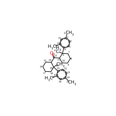 Cc1ccc(C2(C)CCCCC2C(=O)C2CCCCC2(C)c2ccc(C)cc2C)c(C)c1